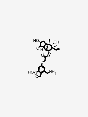 C=C[C@]1(C)C[C@@H](OC(=O)COc2cc(CN)c3c(c2)B(O)OC3)[C@]2(C)[C@H](C)CC[C@]3(C[C@H](O)C(=O)[C@H]32)[C@@H](C)[C@@H]1O